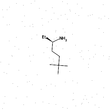 CC[C@@H](N)CCC(C)(C)C